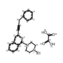 CCN1CCN(c2nc(C#CCc3ccccc3)cc3ccccc23)CC1.O=C(O)C(=O)O